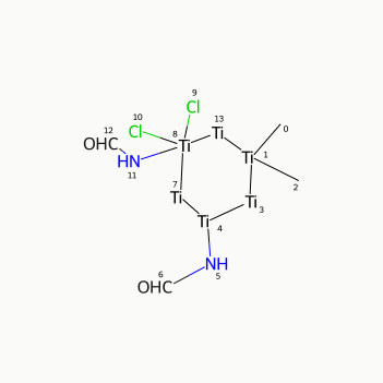 [CH3][Ti]1([CH3])[Ti][Ti]([NH]C=O)[Ti][Ti]([Cl])([Cl])([NH]C=O)[Ti]1